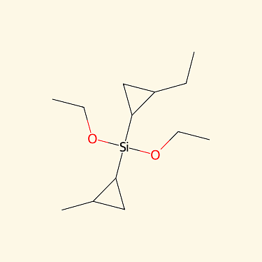 CCO[Si](OCC)(C1CC1C)C1CC1CC